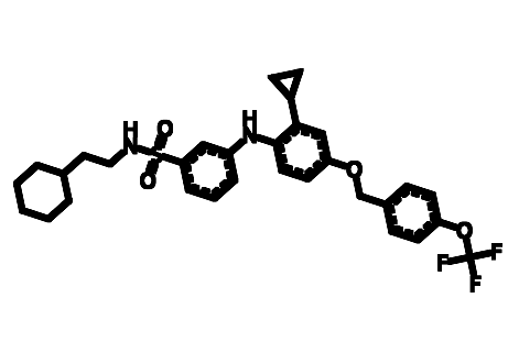 O=S(=O)(NCCC1CCCCC1)c1cccc(Nc2ccc(OCc3ccc(OC(F)(F)F)cc3)cc2C2CC2)c1